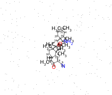 CC(=O)/C=C1/[C@@]2(C)C=C(C#N)C(=O)[C@@H](C)[C@@H]2CC[C@@]1(C)C(C)(C)CC[C@@]1(C(N)=O)CCC(C)(C)CC1C